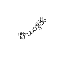 O=C1CCC(N2C(=O)c3ccc(CN4CCC(c5c[nH]c6ncccc56)CC4)cc3C2=O)C(=O)N1